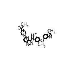 C=CC(=O)N1CCN(c2ccc3ncnc(Nc4cc(C)c(Oc5ccc6c(c5)nnn6C)cc4F)c3n2)CC1